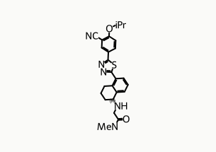 CNC(=O)CN[C@@H]1CCCc2c(-c3nnc(-c4ccc(OC(C)C)c(C#N)c4)s3)cccc21